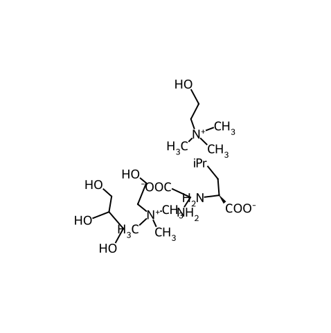 CC(C)C[C@H](N)C(=O)[O-].C[N+](C)(C)CCO.C[N+](C)(C)CCO.NCC(=O)[O-].OCC(O)CO